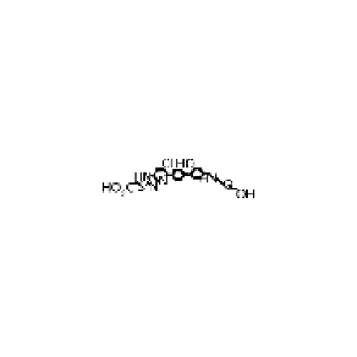 O=C(O)CSc1nc2nc(-c3ccc(-c4ccc(CNCCOCCO)cc4O)cc3)c(Cl)cc2[nH]1